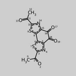 CC(=O)c1nc2c(s1)-c1sc(C(C)=O)nc1C(=O)C2=O